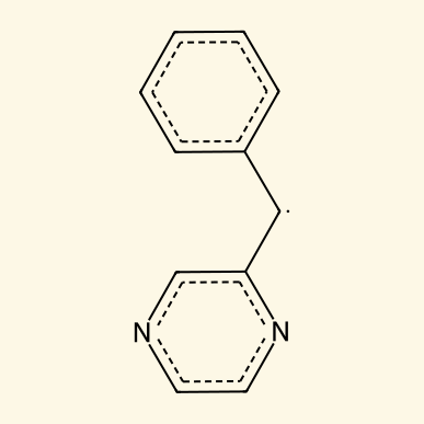 [CH](c1ccccc1)c1cnccn1